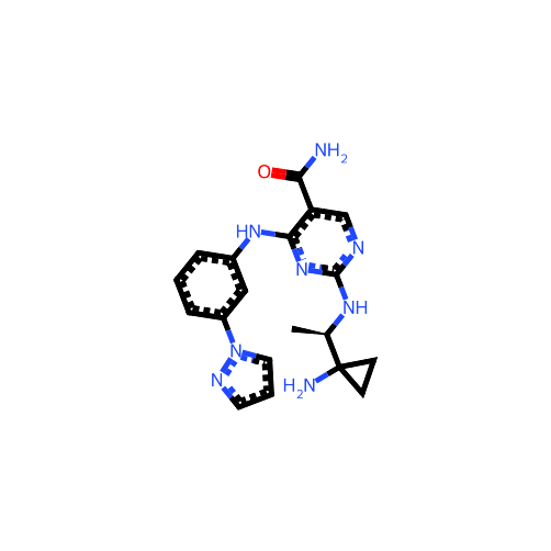 C[C@@H](Nc1ncc(C(N)=O)c(Nc2cccc(-n3cccn3)c2)n1)C1(N)CC1